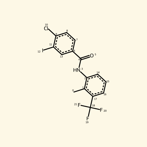 Cc1c(NC(=O)c2ccc(Cl)c(I)c2)cccc1C(F)(F)F